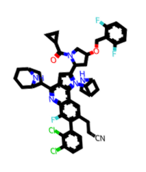 N#CCCc1cc2c(nc(C3CC4CCCC3N4)c3cc(C4CC(OCc5c(F)cccc5F)CN4C(=O)C4CC4)n(C4C5CNC4C5)c32)c(F)c1-c1cccc(Cl)c1Cl